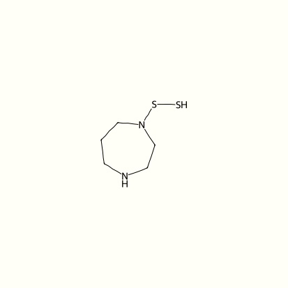 SSN1CCCNCC1